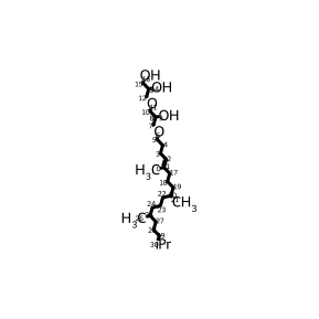 C/C(=C\CCCOCC(O)COCC(O)CO)CCCC(C)CCCC(C)CCCC(C)C